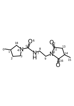 CC1CCN(C(=O)NCCN2C(=O)CC(C)C2=O)C1